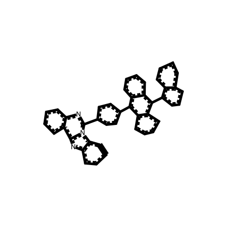 c1ccc2nc3c4ccccc4nc(-c4ccc(-c5c6ccccc6c(-c6cccc7ccccc67)c6ccccc56)cc4)n3c2c#1